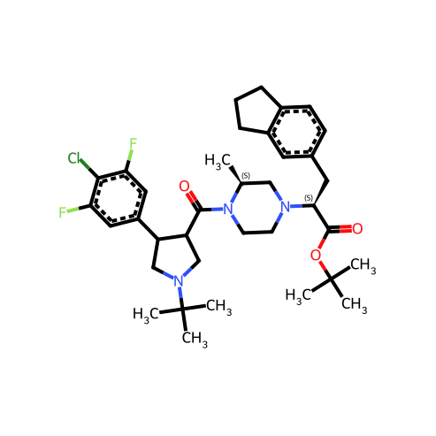 C[C@H]1CN([C@@H](Cc2ccc3c(c2)CCC3)C(=O)OC(C)(C)C)CCN1C(=O)C1CN(C(C)(C)C)CC1c1cc(F)c(Cl)c(F)c1